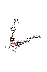 CCCCC[C@H]1CC[C@H](/C=C/COc2ccc(C(=O)O[C@H](C)[C@@H](C)OC(=O)c3ccc(OC/C=C/[C@H]4CC[C@H](CCCCC)CC4)cc3)cc2)CC1